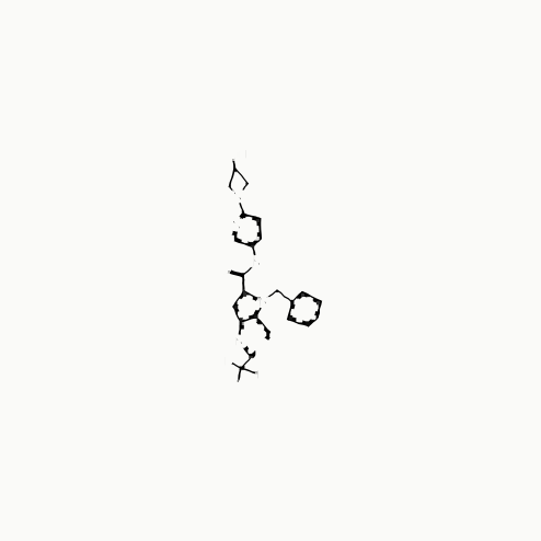 O=C(Nc1ccc(N2CC(O)C2)nc1)c1cc2nc(C(F)(F)F)ccc2n1Cc1ccccc1